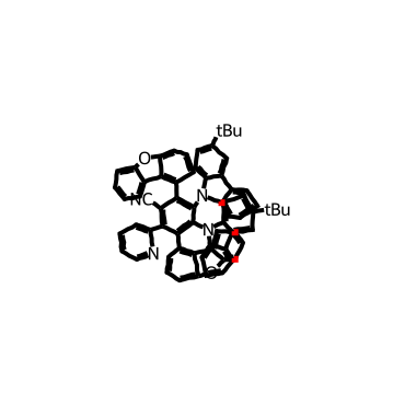 CC(C)(C)c1ccc2c(c1)c1ccccc1n2-c1c(-c2cccc3oc4ccccc4c23)c(C#N)c(-c2ccccn2)c(-c2cccc3oc4ccccc4c23)c1-n1c2ccccc2c2cc(C(C)(C)C)ccc21